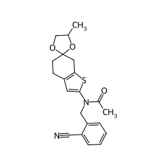 CC(=O)N(Cc1ccccc1C#N)c1cc2c(s1)CC1(CC2)OCC(C)O1